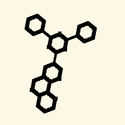 c1ccc(-c2nc(-c3ccccc3)nc(-c3cnc4c(cnc5cccnc54)c3)n2)cc1